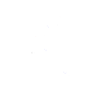 Cc1cccc(N)c1CN(C=O)C1CCC(=O)N(C)C1=O